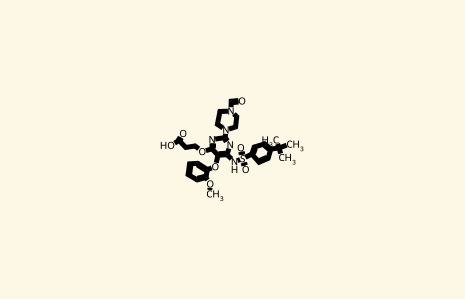 COc1ccccc1Oc1c(NS(=O)(=O)c2ccc(C(C)(C)C)cc2)nc(N2CCN(C=O)CC2)nc1OCCC(=O)O